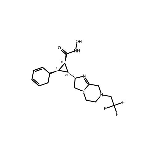 O=C(NO)[C@@H]1[C@H](C2C=CC=CC2)[C@H]1C1CN2CCN(CC(F)(F)F)CC2=N1